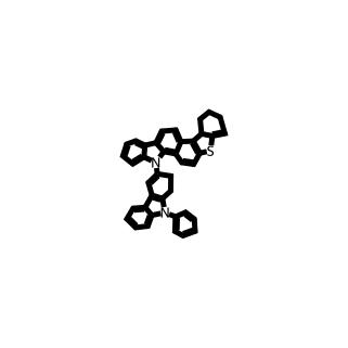 C1=C2Sc3ccc4c(ccc5c6ccccc6n(C6=Cc7c(n(-c8ccccc8)c8ccccc78)CC6)c45)c3C2CCC1